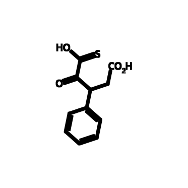 O=C(O)CC(C(=O)C(O)=S)c1ccccc1